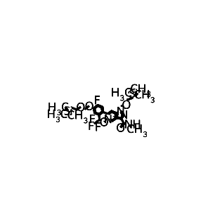 CNC(=O)c1nn(COCC[Si](C)(C)C)c2cc(-c3cc(F)c(OCOCC[Si](C)(C)C)cc3CC(F)(F)F)[n+]([O-])cc12